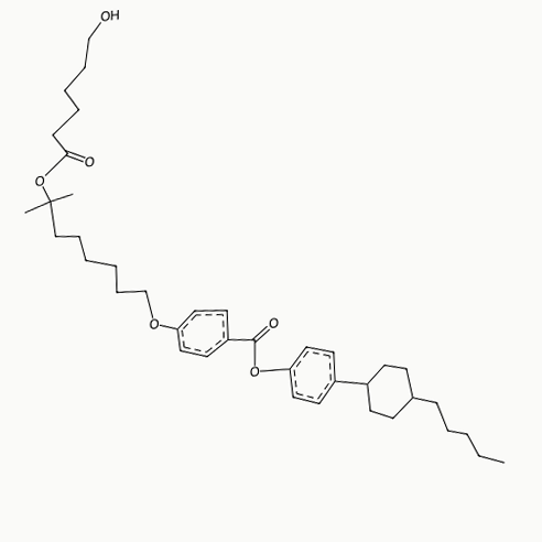 CCCCCC1CCC(c2ccc(OC(=O)c3ccc(OCCCCCCC(C)(C)OC(=O)CCCCCO)cc3)cc2)CC1